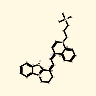 C[N+](C)(C)CCCN1C=C/C(=C/C=C2/CCC[n+]3c2oc2ccccc23)c2ccccc21